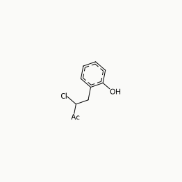 CC(=O)C(Cl)Cc1ccccc1O